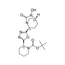 CC(C)(C)OC(=O)N1CCCC[C@H]1c1nnc([C@@H]2CC[C@@H]3CN2C(=O)N3O)o1